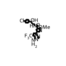 COc1ncc(-c2cc(C(F)(F)F)c3c(N)ncnn23)cc1C(=O)NCC[C@@H](O)c1ccc(Cl)cc1